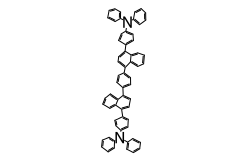 c1ccc(N(c2ccccc2)c2ccc(-c3ccc(-c4ccc(-c5ccc(-c6ccc(N(c7ccccc7)c7ccccc7)cc6)c6ccccc56)cc4)c4ccccc34)cc2)cc1